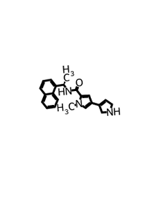 C[C@@H](NC(=O)c1cc(C2=CCNC2)cn1C)c1cccc2ccccc12